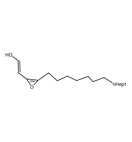 CCCCCCCCCCCCCCC1=C(C=CO)O1